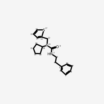 O=C(NCCc1ccccc1)N(Cc1cccs1)C1CCCC1